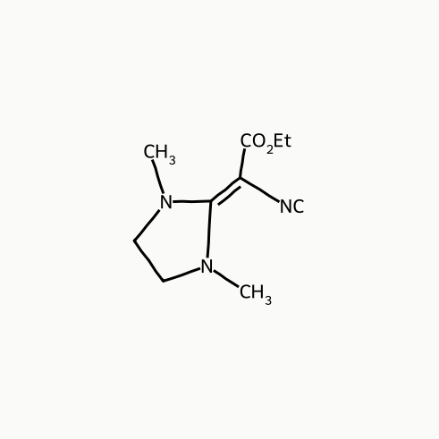 [C-]#[N+]C(C(=O)OCC)=C1N(C)CCN1C